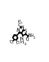 Cc1nc2c(c(-c3ccc(Cl)c(Cl)c3)n1)C(N)C(C(N)=O)S2